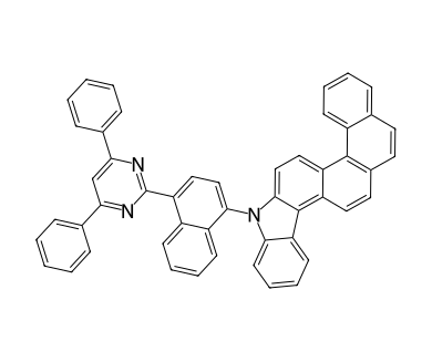 c1ccc(-c2cc(-c3ccccc3)nc(-c3ccc(-n4c5ccccc5c5c6ccc7ccc8ccccc8c7c6ccc54)c4ccccc34)n2)cc1